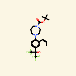 C/C=C\c1cc(C(O)(C(F)(F)F)C(F)(F)F)ccc1N1CCCN(C(=O)OC(C)(C)C)CC1